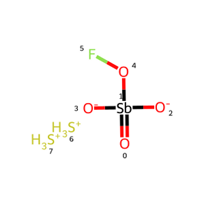 [O]=[Sb]([O-])([O-])[O]F.[SH3+].[SH3+]